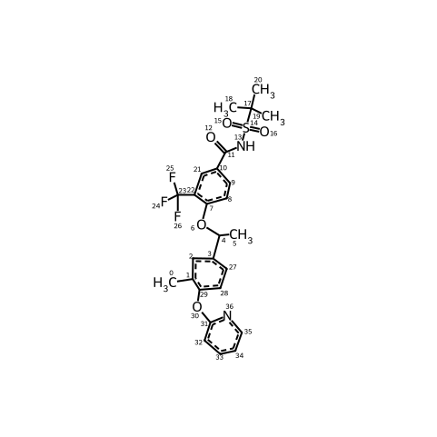 Cc1cc(C(C)Oc2ccc(C(=O)NS(=O)(=O)C(C)(C)C)cc2C(F)(F)F)ccc1Oc1ccccn1